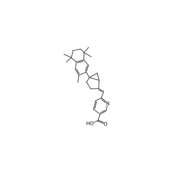 Cc1cc2c(cc1C13CCC(=Cc4ccc(C(=O)O)cn4)C1C3)C(C)(C)CCC2(C)C